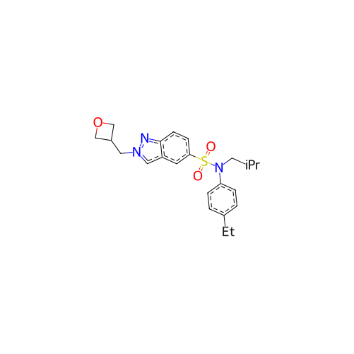 CCc1ccc(N(CC(C)C)S(=O)(=O)c2ccc3nn(CC4COC4)cc3c2)cc1